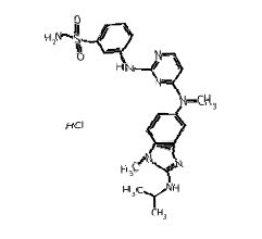 CC(C)Nc1nc2cc(N(C)c3ccnc(Nc4cccc(S(N)(=O)=O)c4)n3)ccc2n1C.Cl